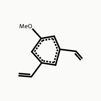 C=Cc1cc(C=C)cc(OC)c1